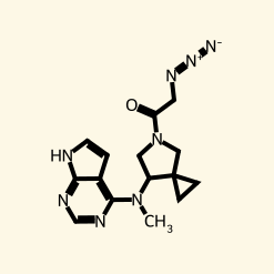 CN(c1ncnc2[nH]ccc12)C1CN(C(=O)CN=[N+]=[N-])CC12CC2